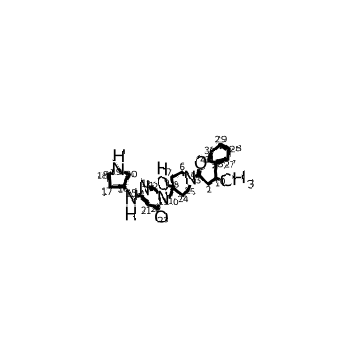 CC(CC(=O)N1CCC(O)(Cn2cnc(NC3CCNC3)cc2=O)CC1)c1ccccc1